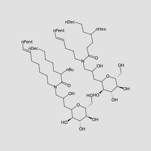 CCCCCC=CCCCCCN(CC(O)CC1O[C@H](CO)[C@@H](O)[C@H](O)[C@H]1O)C(=O)C(CCCC)CCCCCCCCCCCCCC.CCCCCC=CCCCN(CC(O)CC1O[C@H](CO)[C@@H](O)[C@H](O)[C@H]1O)C(=O)CCC(CCCCCC)CCCCCCCCCCCC